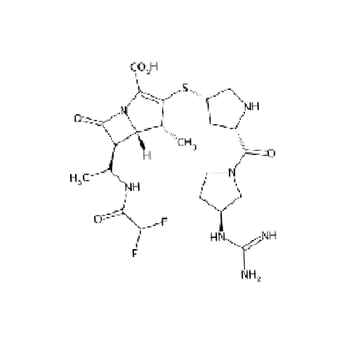 CC(NC(=O)C(F)F)[C@H]1C(=O)N2C(C(=O)O)=C(S[C@@H]3CN[C@H](C(=O)N4CC[C@H](NC(=N)N)C4)C3)[C@H](C)[C@H]12